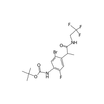 CC(C(=O)NCC(F)(F)F)c1cc(F)c(NC(=O)OC(C)(C)C)cc1Br